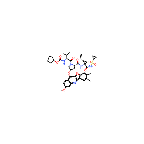 C=C[C@@H]1C[C@]1(NC(=O)[C@@H]1C[C@@H](Oc2c3ccc(OC)cc3nc3c2oc2cc(C)c(C)cc23)CN1C(=O)[C@@H](NC(=O)OC1CCCC1)C(C)C)C(=O)NS(=O)(=O)C1CC1